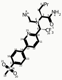 CC(C)C[C@@H](C(N)=O)N(CC#N)[C@@H](c1ccc(-c2ccc(S(C)(=O)=O)cc2)cn1)C(F)(F)F